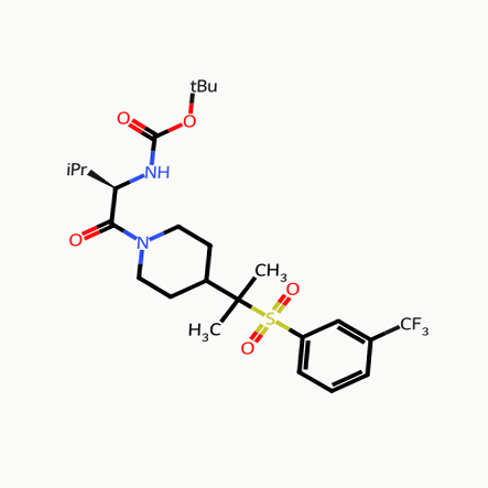 CC(C)[C@@H](NC(=O)OC(C)(C)C)C(=O)N1CCC(C(C)(C)S(=O)(=O)c2cccc(C(F)(F)F)c2)CC1